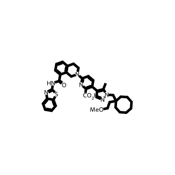 COCCC1(Cn2ncc(-c3ccc(N4CCc5cccc(C(=O)Nc6nc7ccccc7s6)c5C4)nc3C(=O)O)c2C)CCCCCCC1